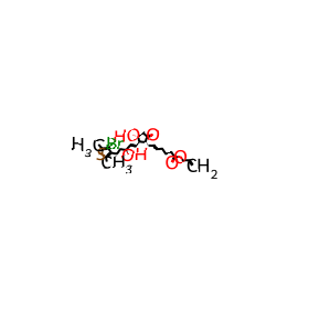 C=CCOC(=O)CCCC=CC[C@H]1C(=O)C[C@@H](O)[C@@H]1C=C[C@@H](O)CCc1c(C)sc(C)c1Br